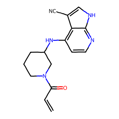 C=CC(=O)N1CCCC(Nc2ccnc3[nH]cc(C#N)c23)C1